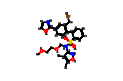 COCCOCN(c1noc(C)c1C)S(=O)(=O)c1ccccc1-c1ccc(-c2ncco2)cc1CBr